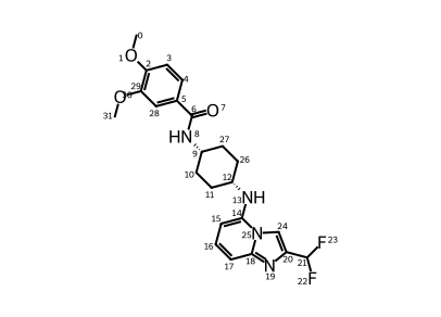 COc1ccc(C(=O)N[C@H]2CC[C@@H](Nc3cccc4nc(C(F)F)cn34)CC2)cc1OC